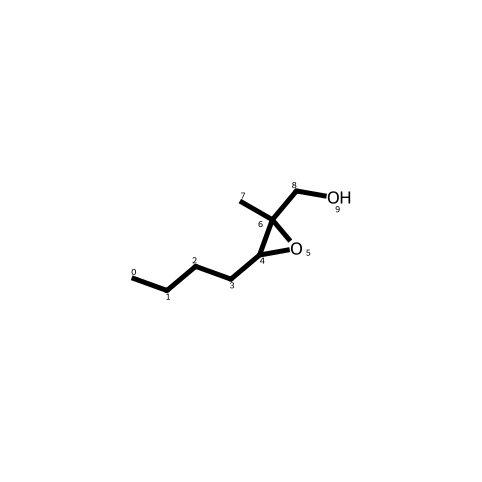 CCCCC1OC1(C)CO